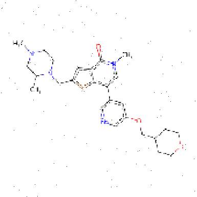 CC1CN(C)CCN1Cc1cc2c(=O)n(C)cc(-c3cncc(OCC4CCOCC4)c3)c2s1